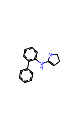 C1=C(Nc2ccccc2-c2ccccc2)[N]CC1